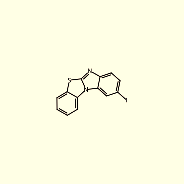 Ic1ccc2nc3sc4ccccc4n3c2c1